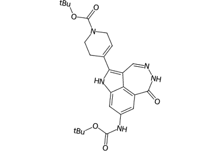 CC(C)(C)OC(=O)Nc1cc2c3c(c(C4=CCN(C(=O)OC(C)(C)C)CC4)[nH]c3c1)C=NNC2=O